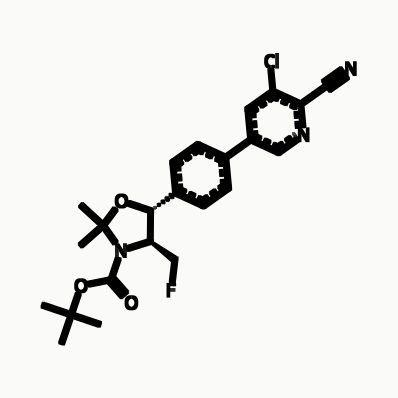 CC(C)(C)OC(=O)N1[C@H](CF)[C@@H](c2ccc(-c3cnc(C#N)c(Cl)c3)cc2)OC1(C)C